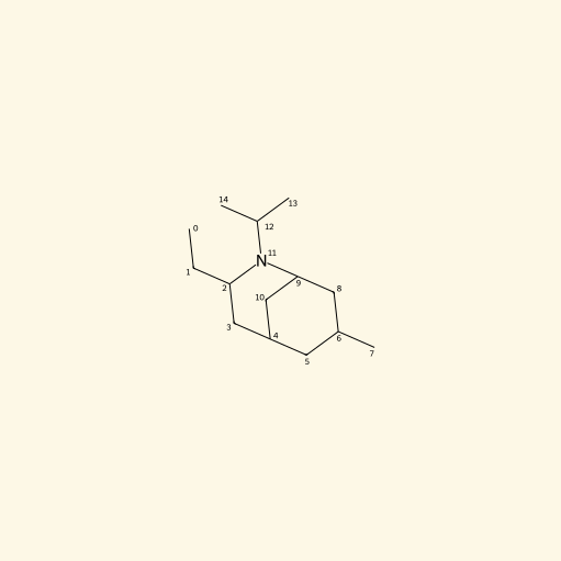 CCC1CC2CC(C)CC(C2)N1C(C)C